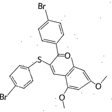 COc1cc(C)c(/C=C(/Sc2ccc(Br)cc2)C(=O)c2ccc(Br)cc2)c(OC)c1